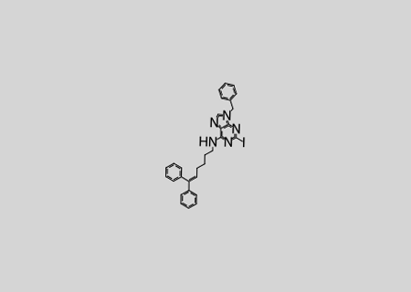 Ic1nc(NCCCCC=C(c2ccccc2)c2ccccc2)c2ncn(Cc3ccccc3)c2n1